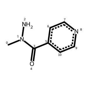 CN(N)C(=O)c1ccncc1